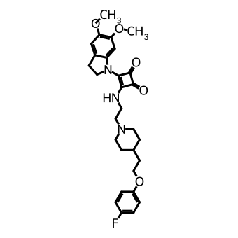 COc1cc2c(cc1OC)N(c1c(NCCN3CCC(CCOc4ccc(F)cc4)CC3)c(=O)c1=O)CC2